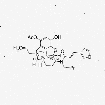 C=CCN1CC[C@]23c4c5c(OC(C)=O)cc(O)c4O[C@@H]2[C@@H](N(CC(C)C)C(=O)C=Cc2ccoc2)CC[C@H]3[C@H]1C5